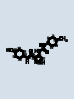 CN1CCC(NC(=O)Nc2c[nH]nc2C(=O)NC2CCC(O)CC2)CC1